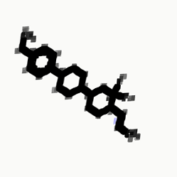 C/C=C/C1CCC(C2CCC(c3ccc(CC)cc3)CC2)CC1(F)F